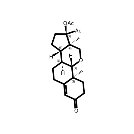 CC(=O)O[C@]1(C(C)=O)CC[C@H]2[C@@H]3CCC4=CC(=O)CC[C@]4(C)[C@H]3OC[C@@]21C